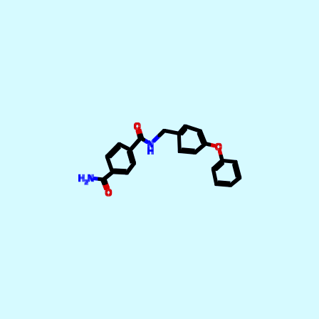 NC(=O)c1ccc(C(=O)NCc2ccc(Oc3ccccc3)cc2)cc1